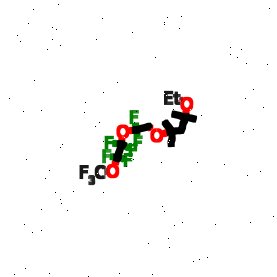 CCOC(C)(C)CC(C)(C)OCC(F)(F)OC(F)(F)C(F)(F)OC(F)(F)F